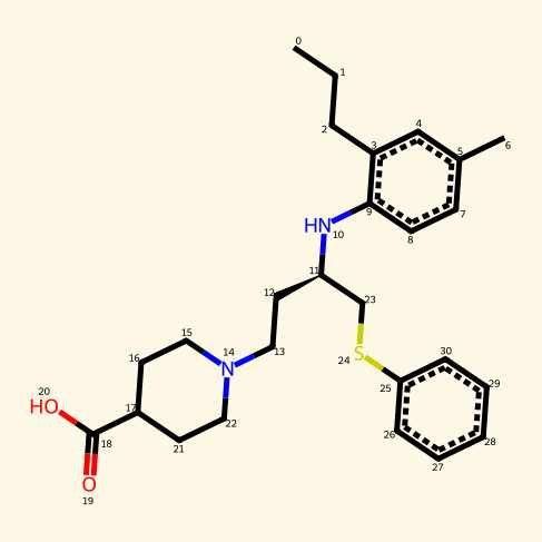 CCCc1cc(C)ccc1N[C@H](CCN1CCC(C(=O)O)CC1)CSc1ccccc1